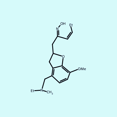 CC/C=C\C(CC1Cc2c(CN(C)CC)ccc(OC)c2O1)=N/O